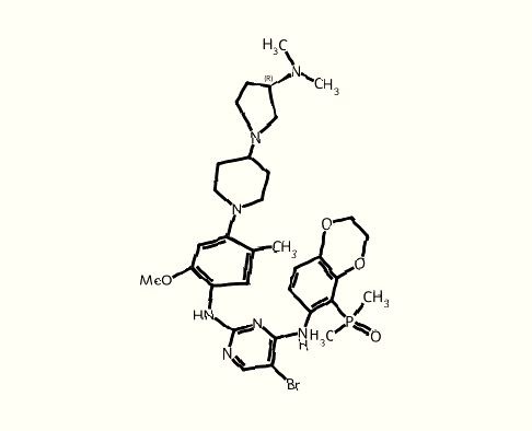 COc1cc(N2CCC(N3CC[C@@H](N(C)C)C3)CC2)c(C)cc1Nc1ncc(Br)c(Nc2ccc3c(c2P(C)(C)=O)OCCO3)n1